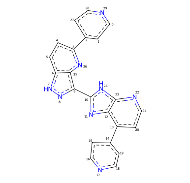 c1cc(-c2ccc3[nH]nc(-c4nc5c(-c6ccncc6)ccnc5[nH]4)c3n2)ccn1